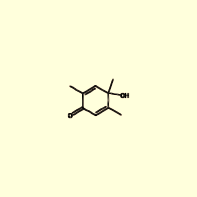 CC1=CC(C)(O)C(C)=CC1=O